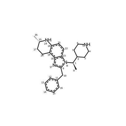 C[C@H](C1CCNCC1)n1c(Cc2ccccc2)nc2c3c(ccc21)N[C@@H](C)CC3